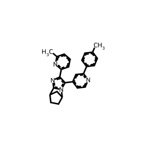 Cc1ccc(-c2cc(-c3c(-c4cccc(C)n4)nc4n3C3CCC4C3)ccn2)cc1